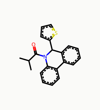 CC(C)C(=O)N1c2ccccc2-c2ccccc2C1c1cccs1